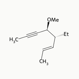 CC#C[C@@H](OC)[C@@H](/C=C/C)CC